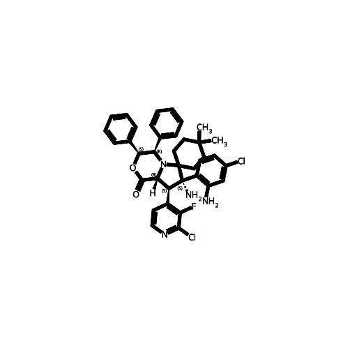 CC1(C)CCC2(CC1)N1[C@H](c3ccccc3)[C@H](c3ccccc3)OC(=O)[C@H]1[C@H](c1ccnc(Cl)c1F)[C@]2(N)c1ccc(Cl)cc1N